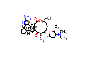 CC[C@H]1CCC[C@H](O[C@H]2CC[C@H](N(C)C)C(C)O2)[C@@H](C)C(=O)C2=C[C@H]3[C@@H]4CCC[C@H]4c4nc(N)sc4[C@H]3[C@@H]2CC(=O)O1